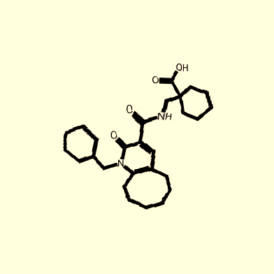 O=C(NCC1(C(=O)O)CCCCC1)c1cc2c(n(CC3CCCCC3)c1=O)CCCCCC2